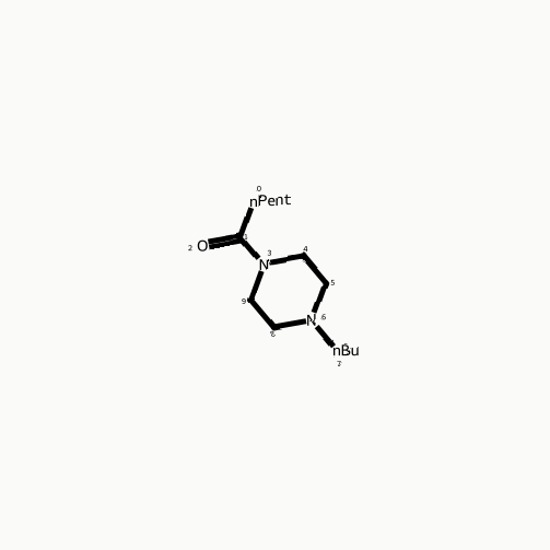 [CH2]CCCCC(=O)N1CCN(CCCC)CC1